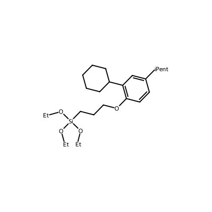 CCCC(C)c1ccc(OCCC[Si](OCC)(OCC)OCC)c(C2CCCCC2)c1